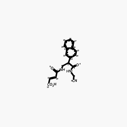 N#CCNC(=O)C(CNC(=O)C=CC(=O)O)c1ccc2ccccc2c1